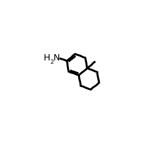 CC12CC=C(N)C=C1CCCC2